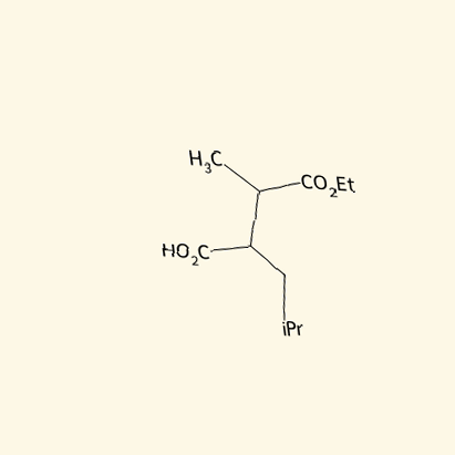 CCOC(=O)C(C)C(CC(C)C)C(=O)O